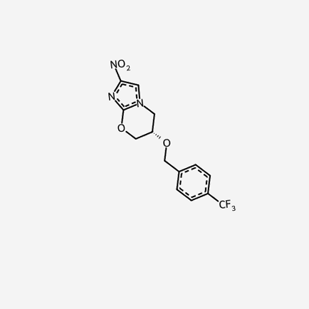 O=[N+]([O-])c1cn2c(n1)OC[C@@H](OCc1ccc(C(F)(F)F)cc1)C2